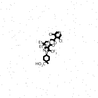 CCC(CC)(CC)CN(CC(=O)c1c(Cl)cncc1Cl)C(=O)c1cnn(C2CCC(C)(C(=O)O)CC2)c1C(F)(F)F